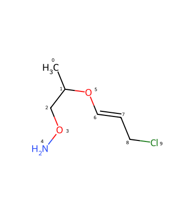 CC(CON)OC=CCCl